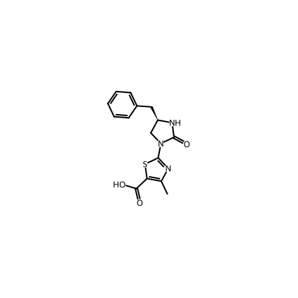 Cc1nc(N2C[C@@H](Cc3ccccc3)NC2=O)sc1C(=O)O